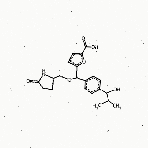 CC(C)C(O)c1ccc(C(OCC2CCC(=O)N2)c2ccc(C(=O)O)o2)cc1